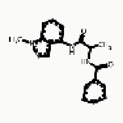 CC(NC(=O)c1ccccc1)C(=O)Nc1cccc2c1cnn2C